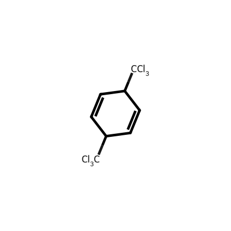 ClC(Cl)(Cl)C1C=CC(C(Cl)(Cl)Cl)C=C1